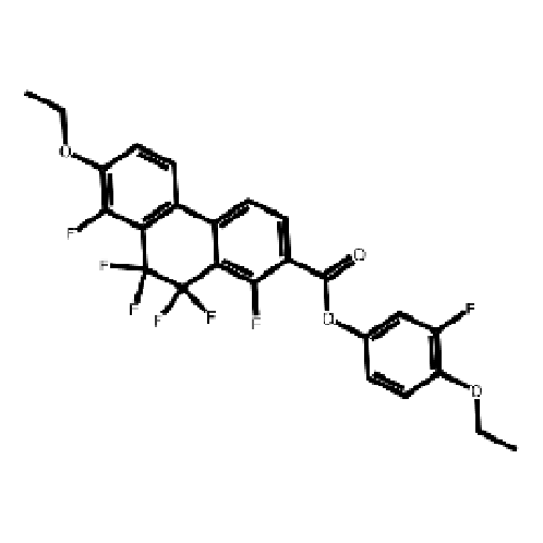 CCOc1ccc(OC(=O)c2ccc3c(c2F)C(F)(F)C(F)(F)c2c-3ccc(OCC)c2F)cc1F